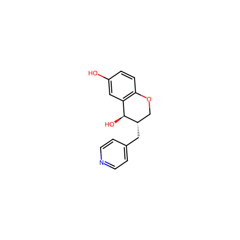 Oc1ccc2c(c1)[C@H](O)[C@@H](Cc1ccncc1)CO2